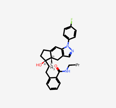 CC(C)CNC(=O)c1ccccc1CC[C@]1(O)CCC2=Cc3c(cnn3-c3ccc(F)cc3)C[C@@]21C